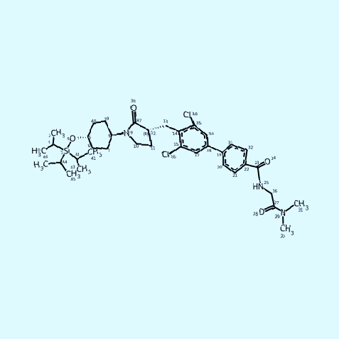 CC(C)[Si](O[C@H]1CC[C@H](N2CC[C@@H](Cc3c(Cl)cc(-c4ccc(C(=O)NCC(=O)N(C)C)cc4)cc3Cl)C2=O)CC1)(C(C)C)C(C)C